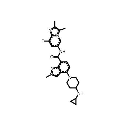 Cc1nc2c(F)cc(NC(=O)c3ccc(N4CCC(NC5CC5)CC4)c4cn(C)nc34)cn2c1C